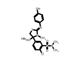 Br.CN1C(=Nc2ccc(O)cc2)SCC1(O)c1ccc(Cl)c(S(=O)(=O)N(C)C)c1